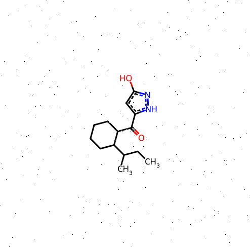 CCC(C)C1CCCCC1C(=O)c1cc(O)n[nH]1